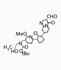 COc1nc(-c2cccc(-c3ccn4c(=O)c(C=O)cnc4c3)c2Cl)ccc1CN(C[C@@H](C)O)C(=O)OC(C)(C)C